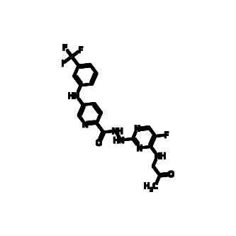 CC(=O)CNc1nc(NNC(=O)c2ccc(Nc3cccc(C(F)(F)I)c3)cn2)ncc1F